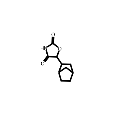 O=C1NC(=O)C(C2CC3CCC2C3)O1